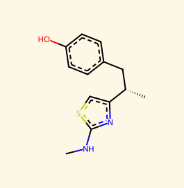 CNc1nc([C@@H](C)Cc2ccc(O)cc2)cs1